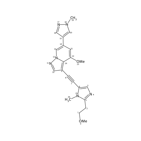 COCCc1ncc(C#Cc2cnn3cc(-c4cnn(C)c4)cc(OC)c23)n1C